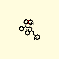 c1ccc(C(CC(CC(CCc2ccccn2)c2ccccn2)c2ccccn2)c2ccccc2)cc1